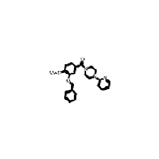 COc1ccc(C(=O)N2CCN(c3ccccn3)CC2)cc1OCc1ccccc1